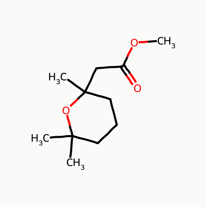 COC(=O)CC1(C)CCCC(C)(C)O1